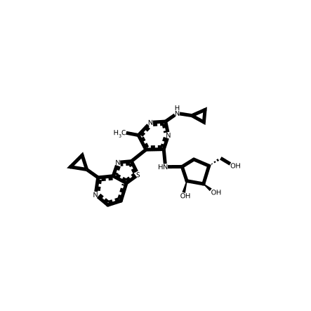 Cc1nc(NC2CC2)nc(NC2C[C@H](CO)[C@@H](O)[C@H]2O)c1-c1nc2c(C3CC3)nccc2s1